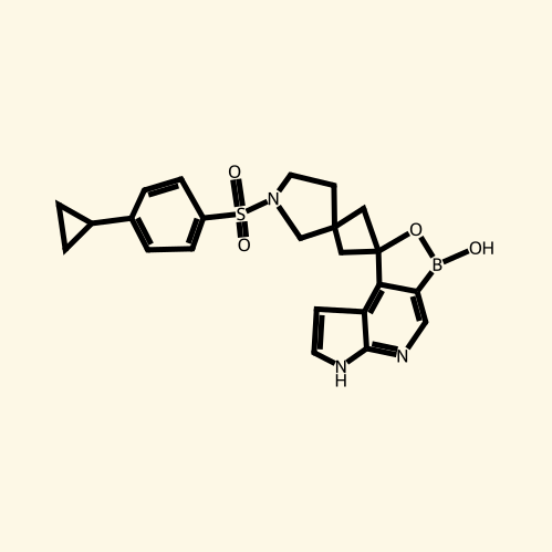 O=S(=O)(c1ccc(C2CC2)cc1)N1CCC2(C1)CC1(C2)OB(O)c2cnc3[nH]ccc3c21